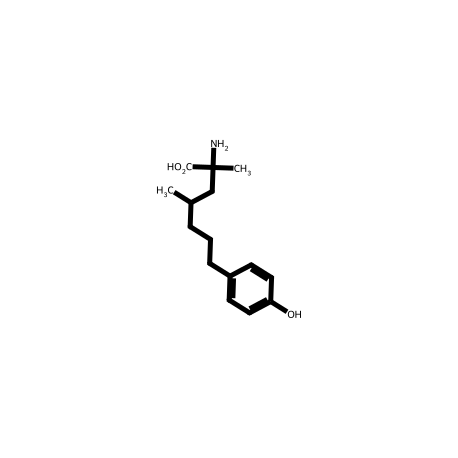 CC(CCCc1ccc(O)cc1)CC(C)(N)C(=O)O